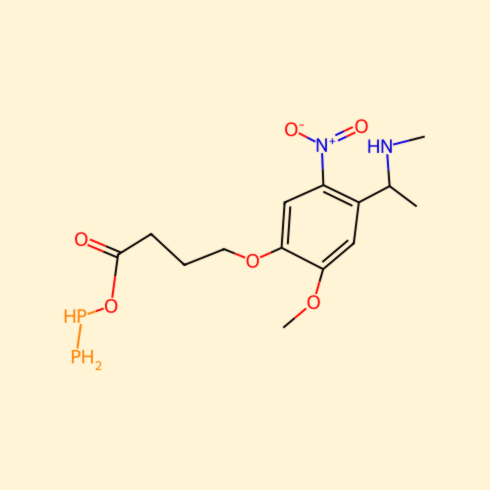 CNC(C)c1cc(OC)c(OCCCC(=O)OPP)cc1[N+](=O)[O-]